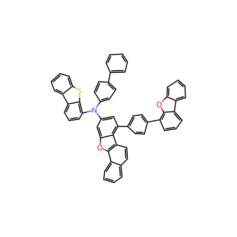 c1ccc(-c2ccc(N(c3cc(-c4ccc(-c5cccc6c5oc5ccccc56)cc4)c4c(c3)oc3c5ccccc5ccc34)c3cccc4c3sc3ccccc34)cc2)cc1